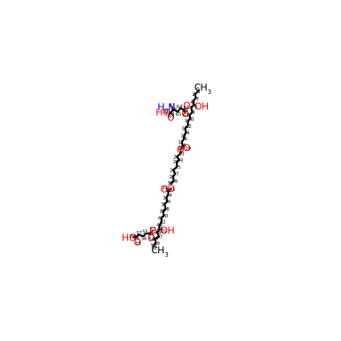 CCCCCC(O)C(CCCCCCCCCCC(=O)OCCCCCCCCCCOC(=O)CCCCCCCCCCC(O)C(CCCCC)OC(=O)CCCC(=O)O)OC(=O)CC[C@H](N)C(=O)O